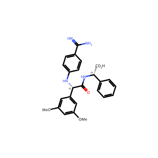 COc1cc(OC)cc([C@H](Nc2ccc(C(=N)N)cc2)C(=O)N[C@H](C(=O)O)c2ccccc2)c1